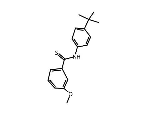 COc1cccc(C(=S)Nc2ccc(C(C)(C)C)cc2)c1